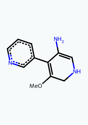 COC1=C(c2cccnc2)C(N)=CNC1